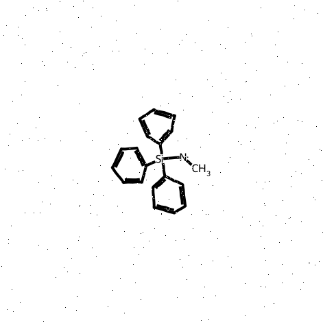 C[N][Si](c1ccccc1)(c1ccccc1)c1ccccc1